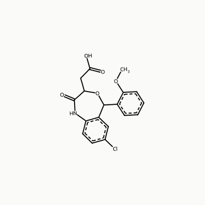 COc1ccccc1C1OC(CC(=O)O)C(=O)Nc2ccc(Cl)cc21